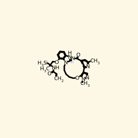 C=CC(=O)NC(C)([SiH3])COc1cccc2c1N1CCCCCOc3c(cnn3C)-c3cc(cc(C)n3)C(=O)/N=C/1N2